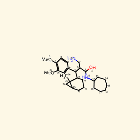 COc1ccc(C(C(CN)C(O)NC2CCCCCC2)C2CCCC3CC32C)cc1OC